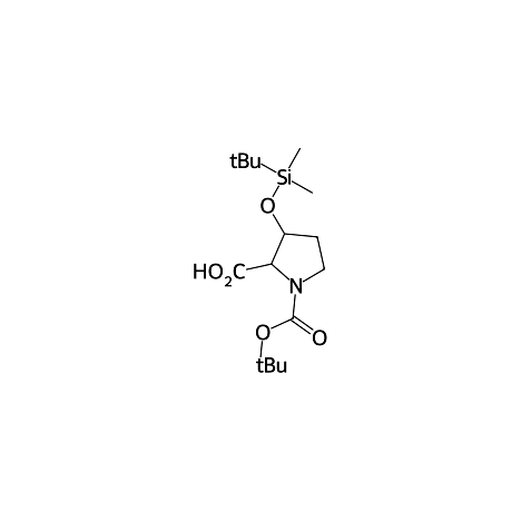 CC(C)(C)OC(=O)N1CCC(O[Si](C)(C)C(C)(C)C)C1C(=O)O